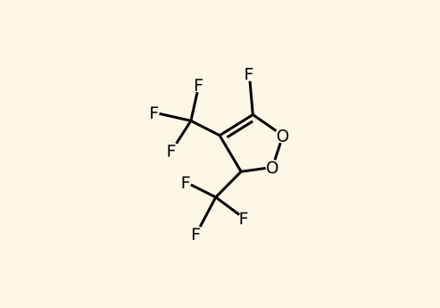 FC1=C(C(F)(F)F)C(C(F)(F)F)OO1